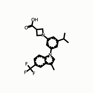 Cc1cn(-c2cc(C(C)C)cc(N3CC(C(=O)O)C3)c2)c2ccc(C(F)(F)F)cc12